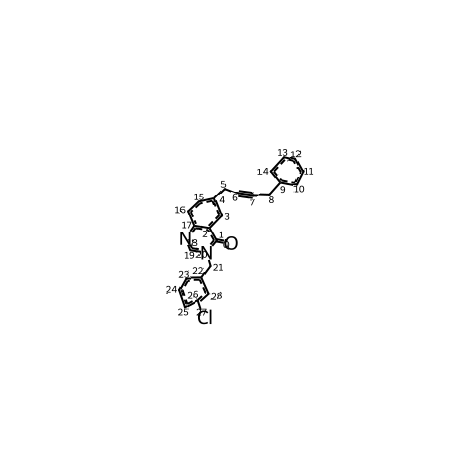 O=c1c2cc(CC#CCc3ccccc3)ccc2ncn1Cc1cccc(Cl)c1